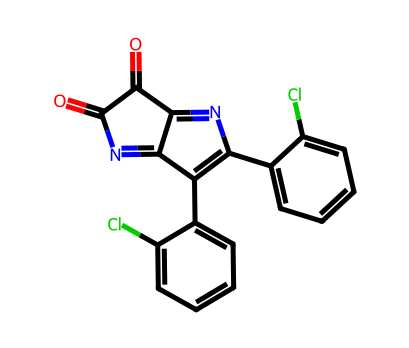 O=c1nc2c(-c3ccccc3Cl)c(-c3ccccc3Cl)nc-2c1=O